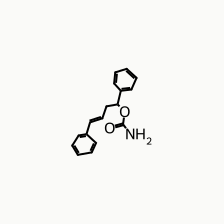 NC(=O)OC(CC=Cc1ccccc1)c1ccccc1